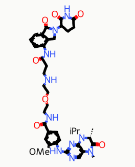 COc1cc(C(=O)NCCOCCNCCC(=O)Nc2cccc3c2CN(C2CCC(=O)NC2=O)C3=O)ccc1Nc1ncc2c(n1)N(C(C)C)[C@H](C)C(=O)N2C